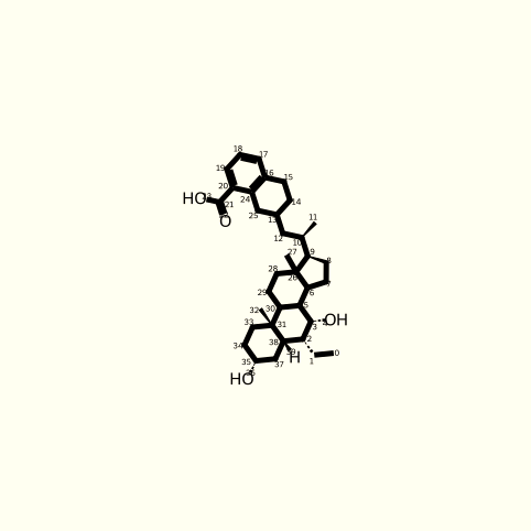 CC[C@H]1[C@@H](O)C2C3CC[C@H]([C@H](C)CC4CCc5cccc(C(=O)O)c5C4)C3(C)CCC2[C@@]2(C)CC[C@@H](O)C[C@@H]12